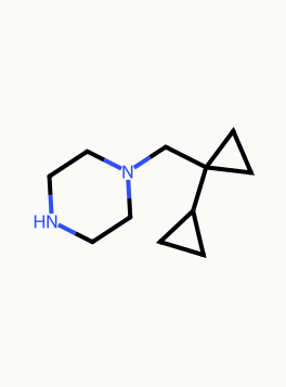 C1CN(CC2(C3CC3)CC2)CCN1